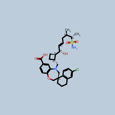 C[C@H](C/C=C/[C@H](O)[C@@H]1CC[C@H]1CN1C[C@@]2(CCCc3cc(Cl)ccc32)COc2ccc(C(=O)O)cc21)[C@H](C)S(N)(=O)=O